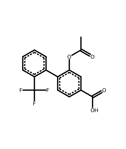 CC(=O)Oc1cc(C(=O)O)ccc1-c1ccccc1C(F)(F)F